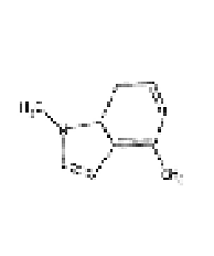 CC1=C2C=CN(C)C2CC=C1